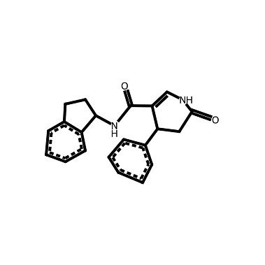 O=C1CC(c2ccccc2)C(C(=O)NC2CCc3ccccc32)=CN1